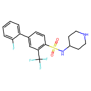 O=S(=O)(NC1CCNCC1)c1ccc(-c2ccccc2F)cc1C(F)(F)F